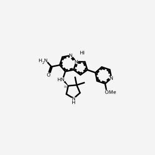 COc1cc(-c2cc3c(N[C@@H]4CNCC4(C)C)c(C(N)=O)cnn3c2)ccn1.I